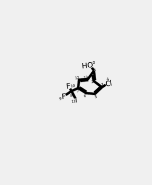 OC1=C\C(Cl)=C/C=C(C(F)(F)I)\C=C\1